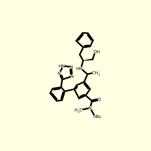 CCCCN(C)C(=O)c1cc(-c2ccccc2-c2nn[nH]n2)cc(C(C)N[C@H](CO)Cc2ccccc2)c1